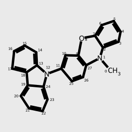 CN1c2ccccc2Oc2cc(-n3c4ccccc4c4ccccc43)ccc21